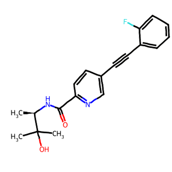 C[C@@H](NC(=O)c1ccc(C#Cc2ccccc2F)cn1)C(C)(C)O